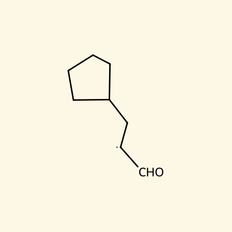 O=C[CH]CC1CCCC1